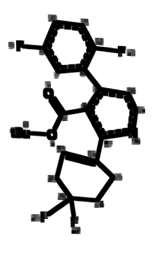 CC(C)(C)OC(=O)c1c(-c2cc(F)ccc2F)ccnc1C1=CCC(F)(F)CC1